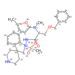 Cc1ccc(N(C)C(COCc2ccccc2)C(=O)N[N+]2(S(C)(=O)=O)CC3(CCNCC3)c3ccccc32)o1